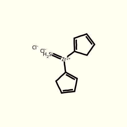 [Cl-].[Cl-].[SiH2]=[Zr+2]([C]1=CC=CC1)[C]1=CC=CC1